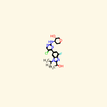 CC(O)c1nc2c(F)cc(-c3nc(N[C@@H]4CCOC[C@H]4O)ncc3Cl)cc2n1C(C)C